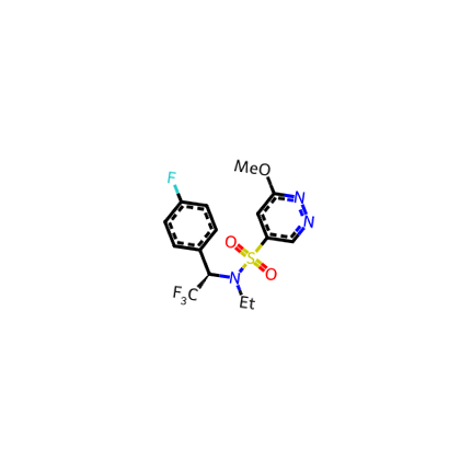 CCN([C@H](c1ccc(F)cc1)C(F)(F)F)S(=O)(=O)c1cnnc(OC)c1